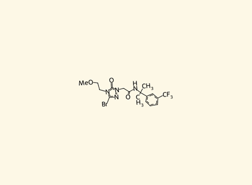 COCCn1c(Br)nn(CC(=O)NC(C)(C)c2cccc(C(F)(F)F)c2)c1=O